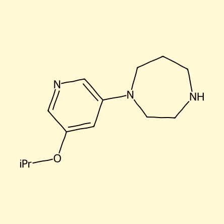 CC(C)Oc1cncc(N2CCCNCC2)c1